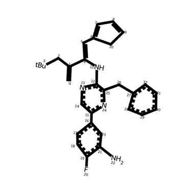 C=C(CC(C)(C)C)/C(=C/C1=CC=CC1)Nc1ncc(-c2ccc(F)c(N)c2)nc1Cc1ccccc1